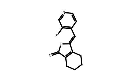 O=C1OC(=Cc2ccncc2Br)C2=C1CCCC2